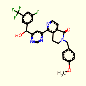 COc1ccc(CN2CCc3c(ccnc3-c3cc(C(O)c4cc(F)cc(C(F)(F)F)c4)ncn3)C2=O)cc1